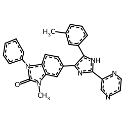 Cc1cccc(-c2[nH]c(-c3cnccn3)nc2-c2ccc3c(c2)n(C)c(=O)n3-c2ccccc2)c1